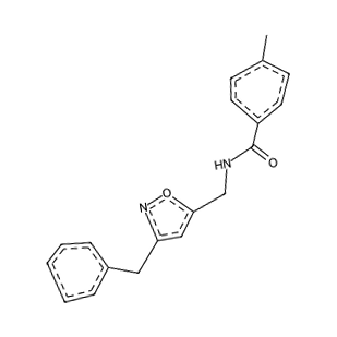 Cc1ccc(C(=O)NCc2cc(Cc3ccccc3)no2)cc1